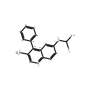 O=[N+]([O-])c1cnc2ccc(SC(F)F)cc2c1-c1ccccc1